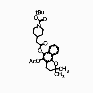 CC(=O)Oc1c2c(c3ccccc3c1OC(=O)CC1CCN(C(=O)OC(C)(C)C)CC1)OC(C)(C)CC2